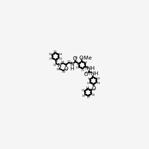 COc1cc(NC(=O)Nc2ccc(Oc3ccccc3)cc2)ccc1C(=O)NCC1CN(Cc2ccccc2)CCO1